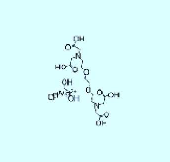 O=C(O)CN(CCOCCOCCN(CC(=O)O)CC(=O)O)CC(=O)O.OCCO.[Cl-].[Cl-].[Mg+2]